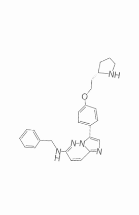 c1ccc(CNc2ccc3ncc(-c4ccc(OCC[C@@H]5CCCN5)cc4)n3n2)cc1